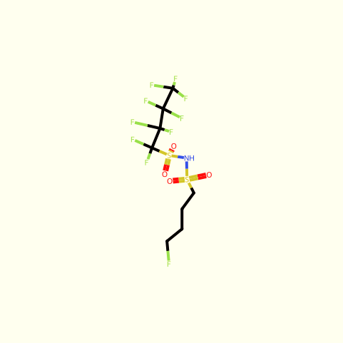 O=S(=O)(CCCCF)NS(=O)(=O)C(F)(F)C(F)(F)C(F)(F)C(F)(F)F